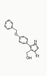 CCc1c[nH]c(-c2ccc(OCc3ccccc3)cc2)c1CO